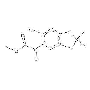 COC(=O)C(=O)c1cc2c(cc1Cl)CC(C)(C)C2